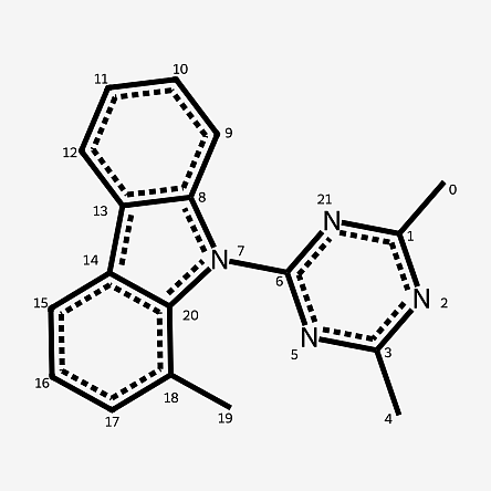 Cc1nc(C)nc(-n2c3ccccc3c3cccc(C)c32)n1